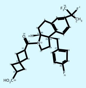 CC(F)(c1ccc2c(c1)CC[C@H]1N(C(=O)C3CC4(CC(C(=O)O)C4)C3)CC[C@@]21Cc1ccc(F)cc1)C(F)(F)F